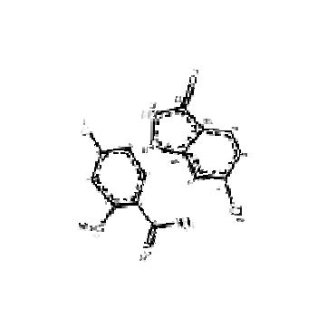 CSc1cc(Cl)ccc1C(N)=O.O=c1[nH]sc2cc(Cl)ccc12